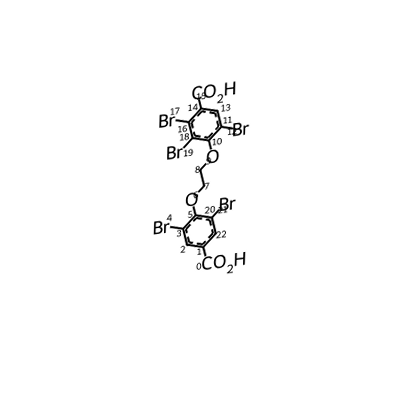 O=C(O)c1cc(Br)c(OCCOc2c(Br)cc(C(=O)O)c(Br)c2Br)c(Br)c1